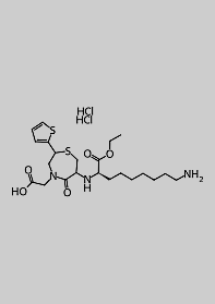 CCOC(=O)[C@@H](CCCCCCCN)NC1CSC(c2cccs2)CN(CC(=O)O)C1=O.Cl.Cl